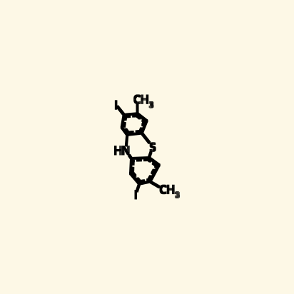 Cc1cc2c(cc1I)Nc1cc(I)c(C)cc1S2